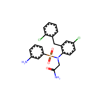 NC(=O)CN(c1ccc(Cl)cc1Cc1ccccc1Cl)S(=O)(=O)c1cccc(N)c1